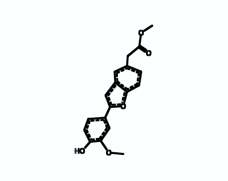 COC(=O)Cc1ccc2oc(-c3ccc(O)c(OC)c3)cc2c1